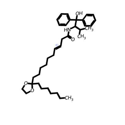 CCCCCCCC1(CCCCCC/C=C/CC(=O)NC(C(C)C)C(O)(c2ccccc2)c2ccccc2)OCCO1